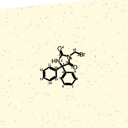 O=C1NC(c2ccccc2)(c2ccccc2)C(=O)N1CBr